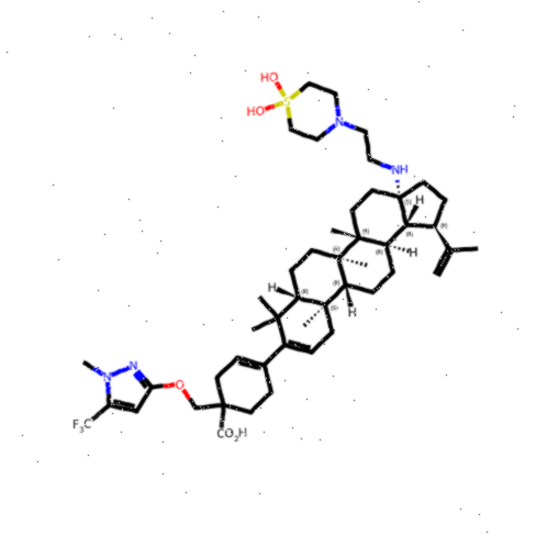 C=C(C)[C@@H]1CC[C@]2(NCCN3CCS(O)(O)CC3)CC[C@]3(C)[C@H](CC[C@@H]4[C@@]5(C)CC=C(C6=CCC(COc7cc(C(F)(F)F)n(C)n7)(C(=O)O)CC6)C(C)(C)[C@@H]5CC[C@]43C)[C@@H]12